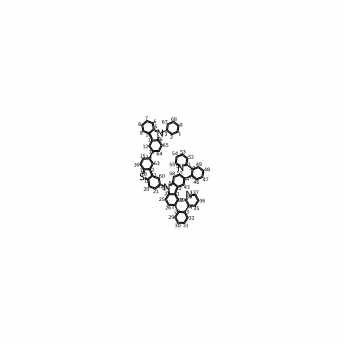 c1ccc(-n2c3ccccc3c3cc(-c4ccc5sc6ccc(-n7c8ccc(-c9ccccc9-c9cccnc9)cc8c8cc(-c9ccccc9-c9ccccn9)ccc87)cc6c5c4)ccc32)cc1